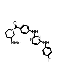 CNC1CCCN(C(=O)c2ccc(Nc3nccc(Nc4ccc(F)cc4)n3)cc2)C1